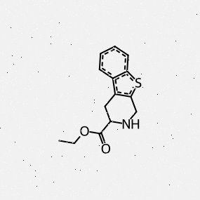 CCOC(=O)C1Cc2c(sc3ccccc23)CN1